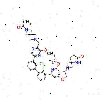 COc1nc(-c2cccc(-c3cccc(-c4cc5c(c(OC)n4)[C@@H](N4CC6(CCC(=O)N6)C4)CO5)c3F)c2Cl)cnc1CN1CC2(C1)CN(C(C)=O)C2